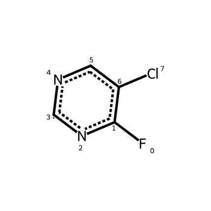 Fc1n[c]ncc1Cl